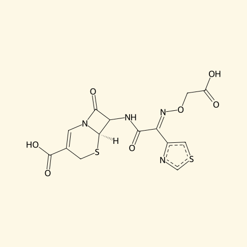 O=C(O)CON=C(C(=O)NC1C(=O)N2C=C(C(=O)O)CS[C@H]12)c1cscn1